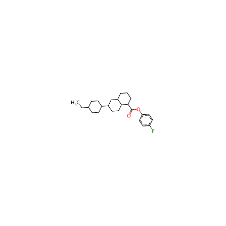 CCC1CCC(C2CCC3C(CCCC3C(=O)Oc3ccc(F)cc3)C2)CC1